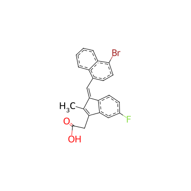 CC1=C(CC(=O)O)c2cc(F)ccc2/C1=C\c1ccc(Br)c2ccccc12